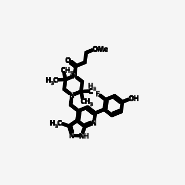 COCCC(=O)N1CC(C)(C)N(Cc2cc(-c3ccc(O)cc3F)nc3[nH]nc(C)c23)CC1(C)C